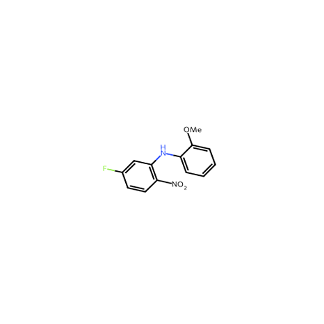 COc1ccccc1Nc1cc(F)ccc1[N+](=O)[O-]